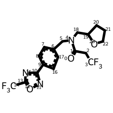 O=C(CC(F)(F)F)N(Cc1ccc(-c2noc(C(F)(F)F)n2)cc1)CC1CCCO1